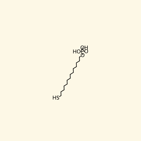 O=P(O)(O)OCCCCCCCCCCCCCCS